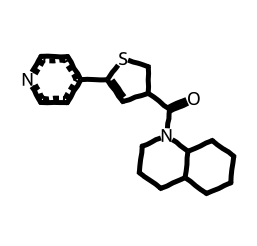 O=C(C1C=C(c2ccncc2)SC1)N1CCCC2CCCCC21